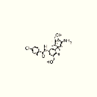 CC1[C@@](C)(CO)SC(N)=N[C@]1(C)c1cc(NC(=O)c2ccc(Cl)cn2)cc(CO)c1F